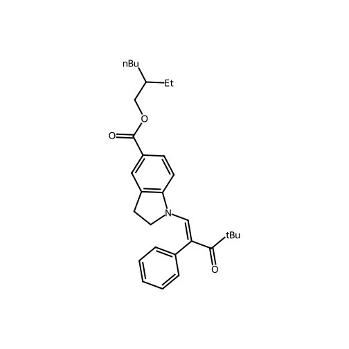 CCCCC(CC)COC(=O)c1ccc2c(c1)CCN2/C=C(/C(=O)C(C)(C)C)c1ccccc1